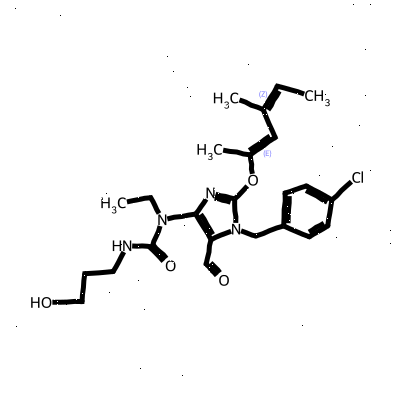 C/C=C(C)\C=C(/C)Oc1nc(N(CC)C(=O)NCCCO)c(C=O)n1Cc1ccc(Cl)cc1